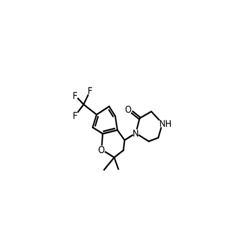 CC1(C)CC(N2CCNCC2=O)c2ccc(C(F)(F)F)cc2O1